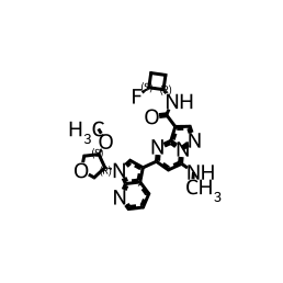 CNc1cc(-c2cn([C@@H]3COC[C@H]3OC)c3ncccc23)nc2c(C(=O)N[C@@H]3CC[C@@H]3F)cnn12